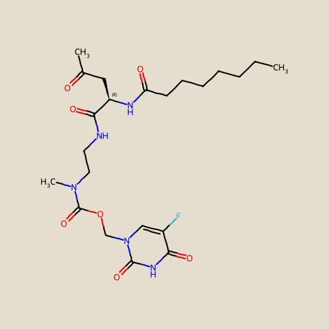 CCCCCCCC(=O)N[C@H](CC(C)=O)C(=O)NCCN(C)C(=O)OCn1cc(F)c(=O)[nH]c1=O